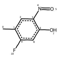 Cc1cc(N=O)c(O)cc1F